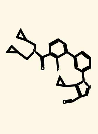 O=Cc1cnn(-c2cccc(-c3cccc(C(=O)N(CC4CC4)CC4CC4)c3F)c2)c1C1CC1